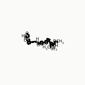 CNC(=O)c1n[nH]c2c(C(C)C)cc(-c3cccc4cc(-c5ccc(C(=O)NCCC#Cc6cccc7c6CN(C6CCC(=O)NC6=O)C7=O)nc5)ncc34)cc12